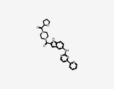 O=C(c1cc2cc(Nc3nccc(-c4ccccn4)n3)ccc2[nH]1)N1CCN(C(=O)C2CCCO2)CC1